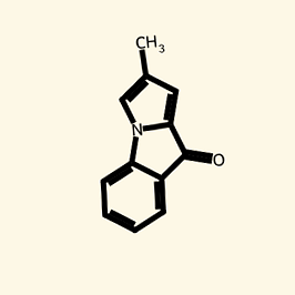 Cc1cc2n(c1)-c1ccccc1C2=O